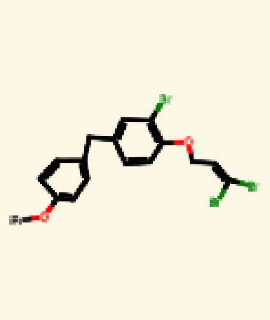 CC(C)Oc1ccc(Cc2ccc(OCC=C(Br)Br)c(Br)c2)cc1